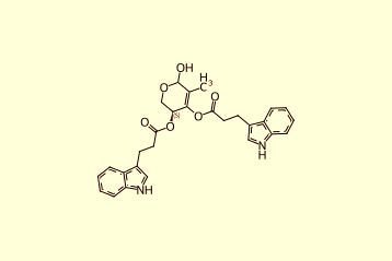 CC1=C(OC(=O)CCc2c[nH]c3ccccc23)[C@@H](OC(=O)CCc2c[nH]c3ccccc23)COC1O